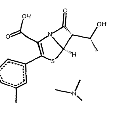 CN(C)C.Cc1cccc(C2=C(C(=O)O)N3C(=O)[C@H]([C@@H](C)O)[C@H]3S2)c1